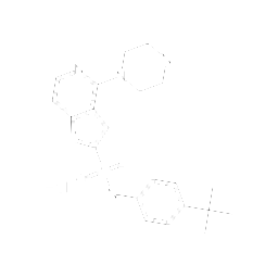 CC(C)(C)c1ccc(NS(=O)(=O)c2cc3c(N4CCNCC4)nccc3s2)cc1.Cl